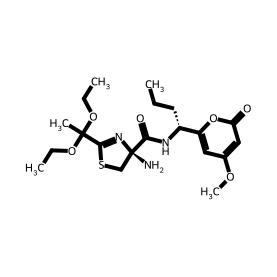 CCC[C@@H](NC(=O)[C@]1(N)CSC(C(C)(OCC)OCC)=N1)c1cc(OC)cc(=O)o1